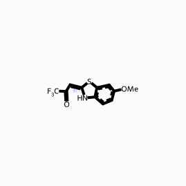 COc1ccc2c(c1)S/C(=C/C(=O)C(F)(F)F)N2